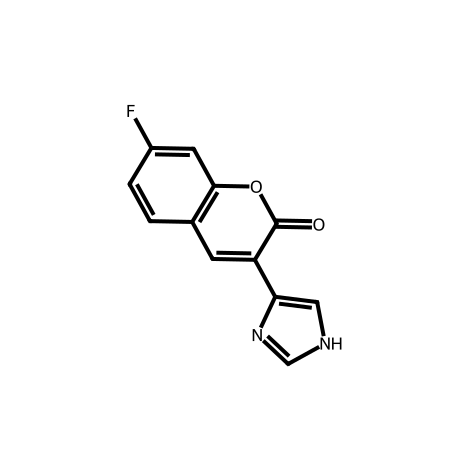 O=c1oc2cc(F)ccc2cc1-c1c[nH]cn1